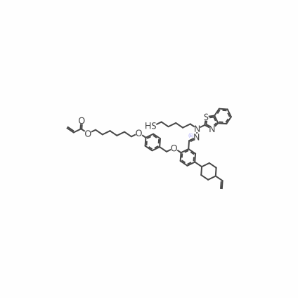 C=CC(=O)OCCCCCCOc1ccc(COc2ccc(C3CCC(C=C)CC3)cc2/C=N/N(CCCCCS)c2nc3ccccc3s2)cc1